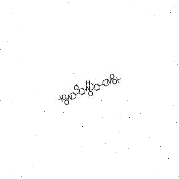 COc1cc(NC(=O)c2ccc(C3=CCN(C(=O)OC(C)(C)C)CC3)cc2C)ccc1C1=CCN(C(=O)OC(C)(C)C)CC1